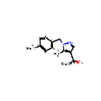 COC(=O)c1cnn(Cc2ccc(OC)cc2)c1C